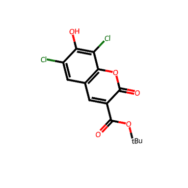 CC(C)(C)OC(=O)c1cc2cc(Cl)c(O)c(Cl)c2oc1=O